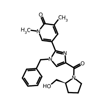 Cc1cc(-c2nc(C(=O)N3CCC[C@H]3CO)cn2Cc2ccccc2)cn(C)c1=O